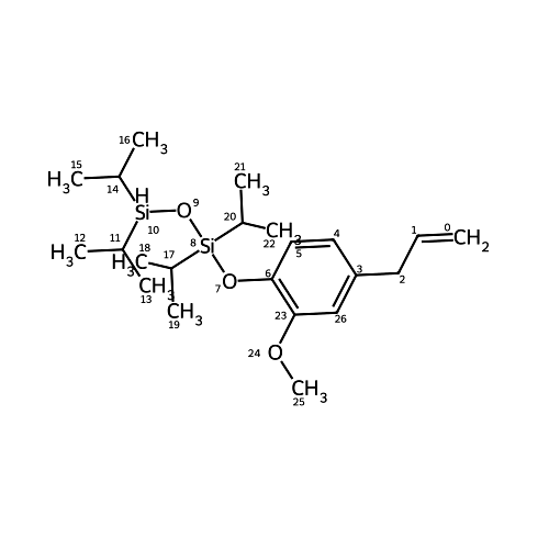 C=CCc1ccc(O[Si](O[SiH](C(C)C)C(C)C)(C(C)C)C(C)C)c(OC)c1